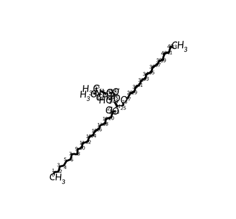 CCCCCCCCCCCCCCCCCCCCCC(=O)O[C@H](COCCCCCCCCCCCCCCCCC)COP(=O)(O)OCC[N+](C)(C)C